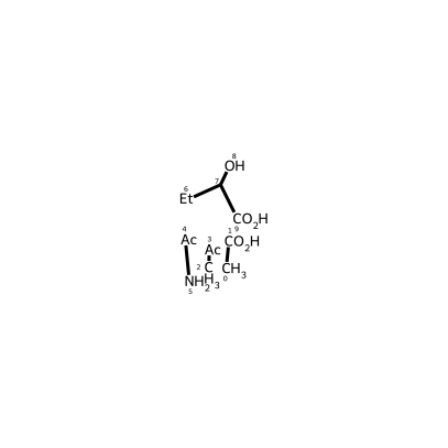 CC(=O)O.CC(C)=O.CC(N)=O.CCC(O)C(=O)O